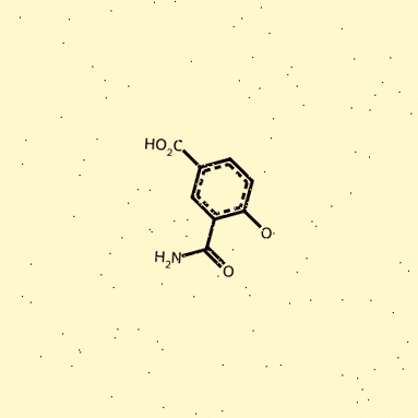 NC(=O)c1cc(C(=O)O)ccc1[O]